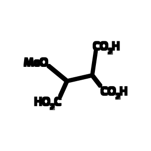 COC(C(=O)O)C(C(=O)O)C(=O)O